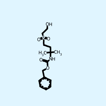 CC(C)(CCS(=O)(=O)CCO)NC(=O)OCc1ccccc1